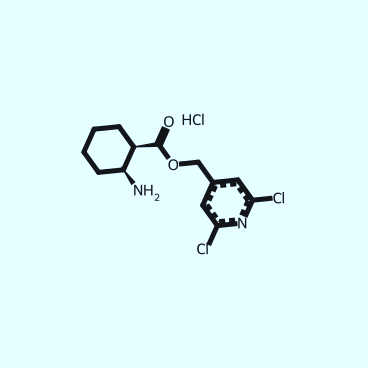 Cl.N[C@H]1CCCC[C@H]1C(=O)OCc1cc(Cl)nc(Cl)c1